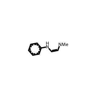 CN/C=C\Nc1ccccc1